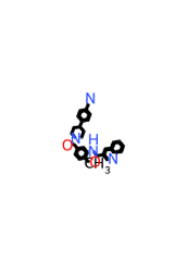 Cc1ccc(C(=O)N2CCC(c3ccc(C#N)cc3)CC2)cc1NC(=O)c1cnc2ccccc2c1